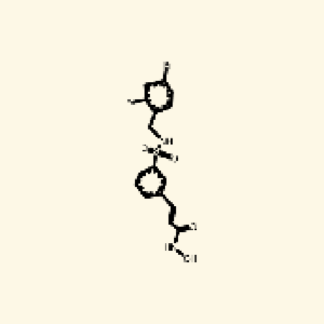 O=C(/C=C/c1cccc(S(=O)(=O)NCc2ccc(Br)cc2F)c1)NO